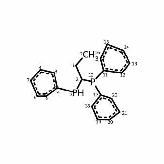 CCC(Pc1ccccc1)P(c1ccccc1)c1ccccc1